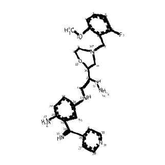 COc1cccc(F)c1CN1CCOC(/C(=C/Nc2ccc(N)c(C(=N)c3ccncc3)c2)NN)C1